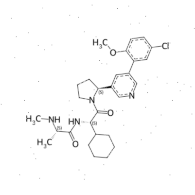 CN[C@@H](C)C(=O)N[C@H](C(=O)N1CCC[C@H]1c1cncc(-c2cc(Cl)ccc2OC)c1)C1CCCCC1